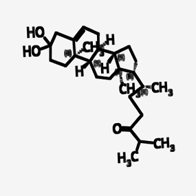 CC(C)C(=O)CC[C@@H](C)[C@H]1CC[C@H]2[C@@H]3CC=C4CC(O)(O)CC[C@]4(C)[C@H]3CC[C@]12C